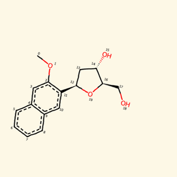 COc1cc2ccccc2cc1[C@H]1C[C@H](O)[C@@H](CO)O1